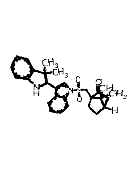 CC1(C)c2ccccc2NC1c1cn(S(=O)(=O)CC23CC[C@@H](CC2=O)C3(C)C)c2ccccc12